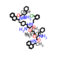 COC(C(=O)N[C@@H](CC1CCC(C[C@@H](N)C(OC(C)(C)CC(C)(C)OC(C(=O)NC(C)c2cccc3ccccc23)C(N)CC2CCCCC2)C(=O)NCCc2ccccc2Cl)CC1)c1ccc2ccccc2c1)C(N)CC1CCCCC1